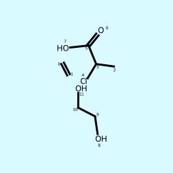 C=C.CC(Cl)C(=O)O.OCCO